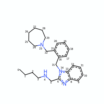 CCCCNCc1nc2ccccc2n1Cc1ccccc1CN1CCCCCC1